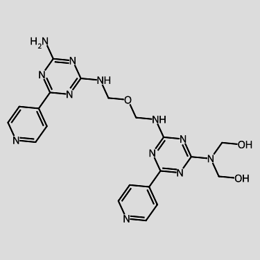 Nc1nc(NCOCNc2nc(-c3ccncc3)nc(N(CO)CO)n2)nc(-c2ccncc2)n1